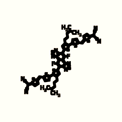 CC(C)CCCc1cc(-c2c(F)c3c4nsnc4c(-c4cc(CCCC(C)C)c(-c5ccc(/C=c6\ccc(=C(C#N)C#N)s6)s5)s4)c(F)c3c3nsnc23)sc1-c1ccc(/C=c2\ccc(=C(C#N)C#N)s2)s1